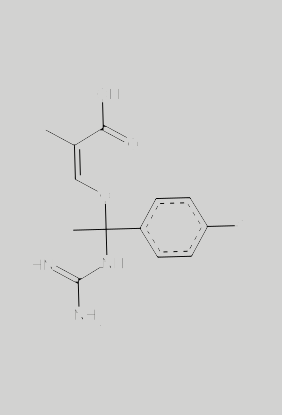 CC(=COC(C)(NC(=N)N)c1ccc(Cl)cc1)C(=O)O